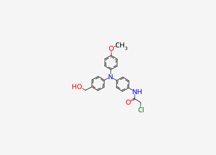 COc1ccc(N(c2ccc(CO)cc2)c2ccc(NC(=O)CCl)cc2)cc1